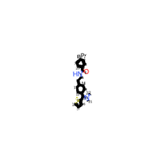 CCCc1ccc(C(=O)NCCC2CCC(C(c3cccs3)N(C)C)CC2)cc1